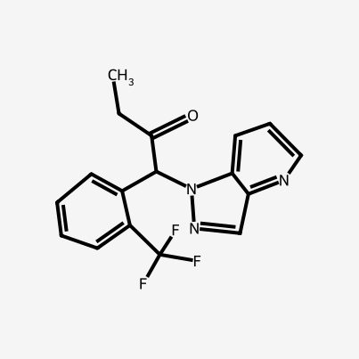 CCC(=O)C(c1ccccc1C(F)(F)F)n1ncc2ncccc21